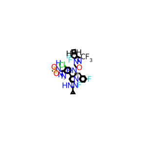 Cn1nc(NS(C)(=O)=O)c2c(Cl)ccc(-c3cc4[nH]c(C5CC5)nc4nc3[C@H](Cc3cc(F)cc(F)c3)NC(=O)Cn3nc(C(F)(F)F)c4c3C(F)(F)[C@@H]3CC[C@H]43)c21